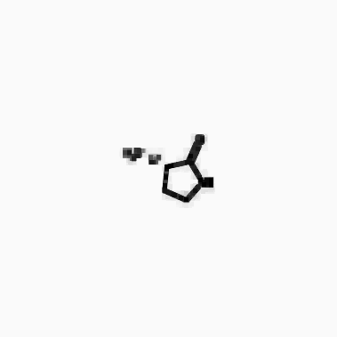 O=C1CCCN1.[BH4-].[Li+]